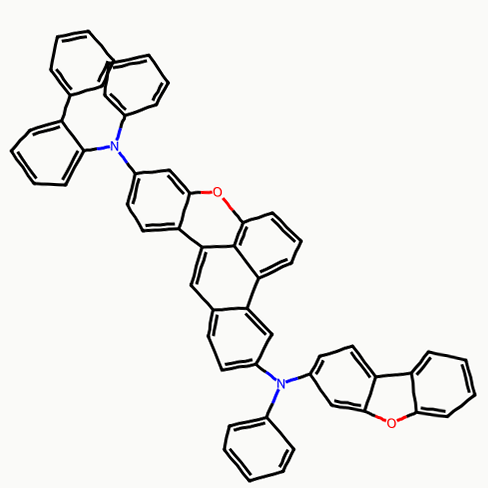 c1ccc(-c2ccccc2N(c2ccccc2)c2ccc3c(c2)Oc2cccc4c2c-3cc2ccc(N(c3ccccc3)c3ccc5c(c3)oc3ccccc35)cc24)cc1